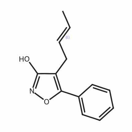 C/C=C/Cc1c(O)noc1-c1ccccc1